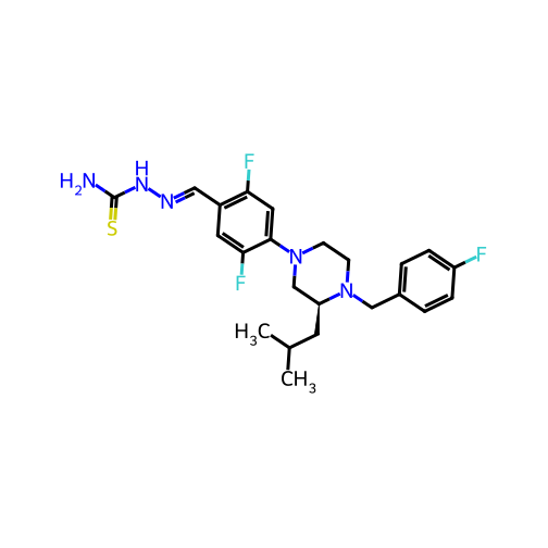 CC(C)C[C@H]1CN(c2cc(F)c(/C=N/NC(N)=S)cc2F)CCN1Cc1ccc(F)cc1